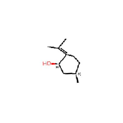 CC(C)=C1CC[C@@H](C)C[C@H]1O